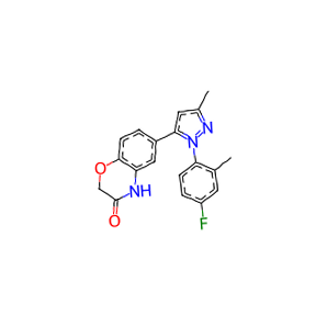 Cc1cc(-c2ccc3c(c2)NC(=O)CO3)n(-c2ccc(F)cc2C)n1